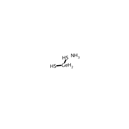 N.[SH][GeH2][SH]